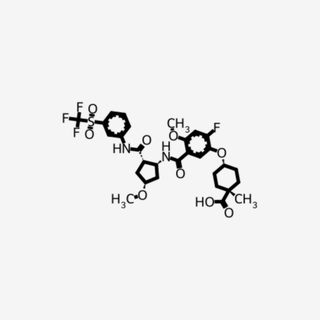 COc1cc(F)c(O[C@H]2CC[C@@](C)(C(=O)O)CC2)cc1C(=O)N[C@@H]1C[C@H](OC)C[C@@H]1C(=O)Nc1cccc(S(=O)(=O)C(F)(F)F)c1